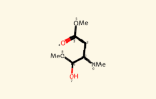 CNC(CC(=O)OC)C(O)OC